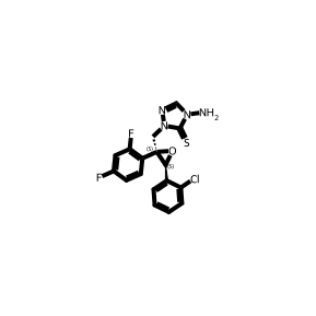 Nn1cnn(C[C@]2(c3ccc(F)cc3F)O[C@H]2c2ccccc2Cl)c1=S